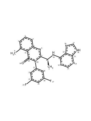 Cc1cccc2nc([C@H](C)Nc3ncnc4[nH]cnc34)n(-c3cc(F)cc(F)c3)c(=O)c12